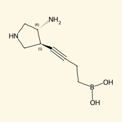 N[C@H]1CNC[C@@H]1C#CCCB(O)O